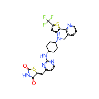 O=C1NC(=O)C(=Cc2ccnc(N[C@H]3CC[C@H](NCc4cccnc4-c4ccc(C(F)(F)F)s4)CC3)n2)S1